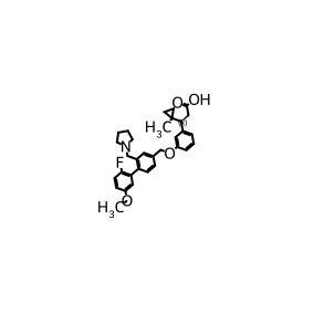 COc1ccc(F)c(-c2ccc(COc3cccc([C@H](CC(=O)O)C4(C)CC4)c3)cc2CN2CCCC2)c1